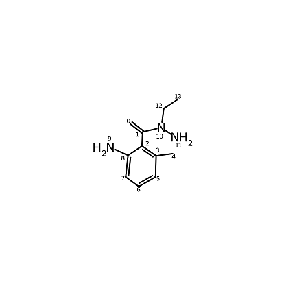 C=C(c1c(C)cccc1N)N(N)CC